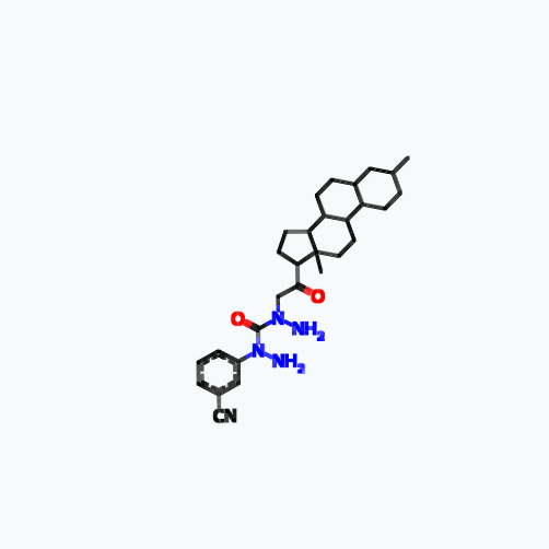 CC1CCC2C(CCC3C2CCC2(C)C(C(=O)CN(N)C(=O)N(N)c4cccc(C#N)c4)CCC32)C1